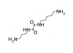 NCCCCCNC(=O)C(=O)NCCCN